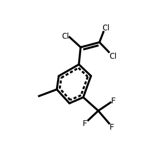 Cc1cc(C(Cl)=C(Cl)Cl)cc(C(F)(F)F)c1